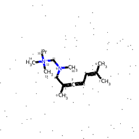 CC(=C=CC=C(C)C)CN(C)C[N+](C)(C)C(C)C